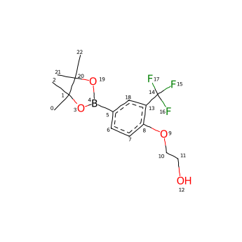 CC1(C)OB(c2ccc(OCCO)c(C(F)(F)F)c2)OC1(C)C